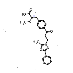 CS/C(=C\c1ccc(C(=O)CCc2nc(-c3ccccc3)oc2C)cc1)C(=O)O